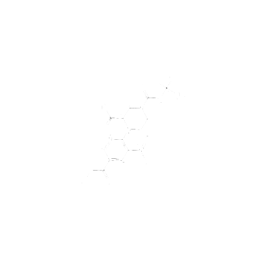 COC(=O)c1cnc(N2CCN(C(=O)OC(C)(C)C)CC2C(=O)O)c([N+](=O)[O-])c1